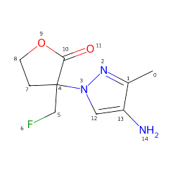 Cc1nn(C2(CF)CCOC2=O)cc1N